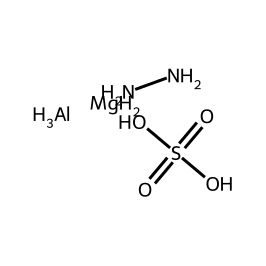 NN.O=S(=O)(O)O.[AlH3].[MgH2]